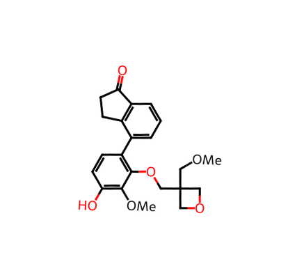 COCC1(COc2c(-c3cccc4c3CCC4=O)ccc(O)c2OC)COC1